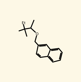 CCC(C)(C)C(C)OCc1ccc2ccccc2c1